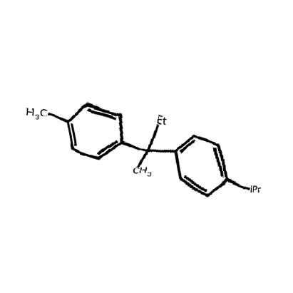 CCC(C)(c1ccc(C)cc1)c1ccc(C(C)C)cc1